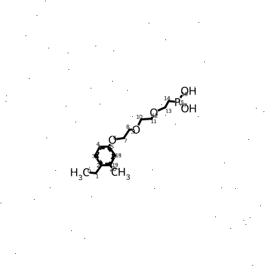 CCc1ccc(OCCOCCOCCP(O)O)cc1C